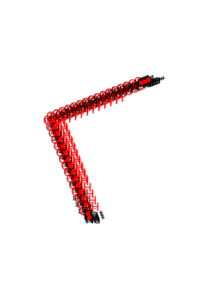 O=C(O)O.O=C(O)O.O=C(O)O.O=C(O)O.O=C(O)O.O=C(O)O.O=C(O)O.O=C(O)O.O=C(O)O.O=C(O)O.O=C(O)O.O=C(O)O.O=C(O)O.O=C(O)O.O=C(O)O.O=C(O)O.O=C(O)O.O=C(O)O.O=C(O)O.O=C(O)O.O=C([O-])O.O=C([O-])O.O=C([O-])O.O=C([O-])O.O=C([O-])O.O=C([O-])O.O=C([O-])O.O=C([O-])O.O=C([O-])O.O=C([O-])O.[Na+].[Na+].[Na+].[Na+].[Na+].[Na+].[Na+].[Na+].[Na+].[Na+]